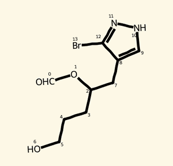 O=COC(CCCO)Cc1c[nH]nc1Br